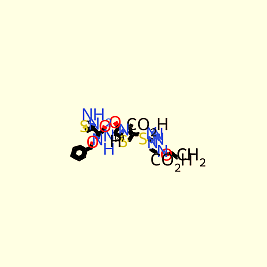 C=CCON=C(Cn1nnnc1SCC1=C(C(=O)O)N2C(=O)C(NC(=O)C(=NOCc3ccccc3)c3csc(N)n3)[C@@H]2SC1)C(=O)O